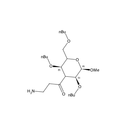 CCCCOCC1O[C@@H](OC)[C@@H](OCCCC)C(C(=O)CCN)[C@H]1OCCCC